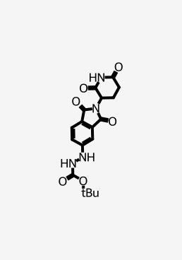 CC(C)(C)OC(=O)NNc1ccc2c(c1)C(=O)N(C1CCC(=O)NC1=O)C2=O